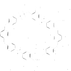 COc1ccc(S(=O)(=O)c2ccc(Oc3ccc(Oc4ccc(C(C)(C)C(C)(C)Oc5ccc(S(=O)(=O)c6ccc(Oc7ccc(Oc8ccc(C)cc8)cc7)c(S(=O)(=O)O)c6)cc5S(=O)(=O)O)cc4)cc3)cc2)cc1